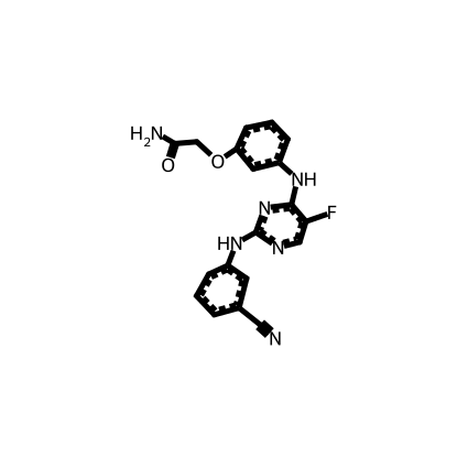 N#Cc1cccc(Nc2ncc(F)c(Nc3cccc(OCC(N)=O)c3)n2)c1